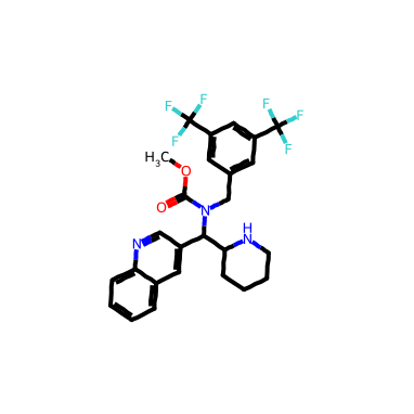 COC(=O)N(Cc1cc(C(F)(F)F)cc(C(F)(F)F)c1)C(c1cnc2ccccc2c1)C1CCCCN1